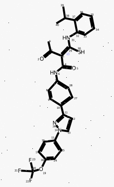 CC(=O)/C(C(=O)Nc1ccc(-c2ccn(-c3ccc(OC(F)(F)F)cc3)n2)cc1)=C(/S)Nc1ccccc1C(C)C